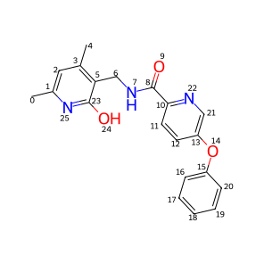 Cc1cc(C)c(CNC(=O)c2ccc(Oc3ccccc3)cn2)c(O)n1